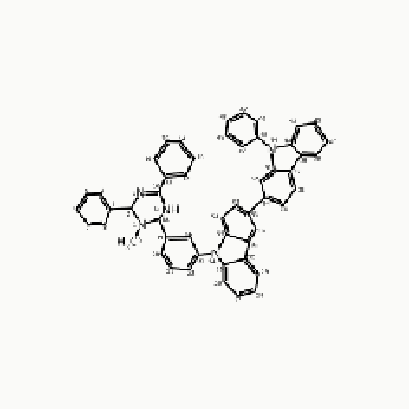 CN1C(c2ccccc2)N=C(c2ccccc2)NC1c1cccc(-n2c3ccccc3c3cc(-c4ccc5c6ccccc6n(-c6ccccc6)c5c4)ccc32)c1